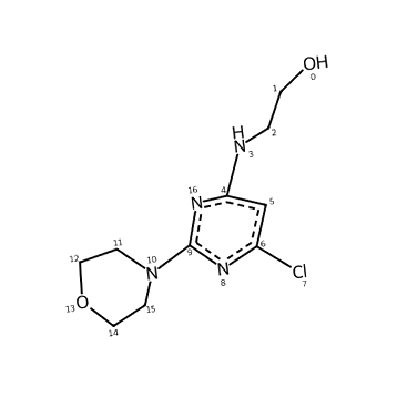 OCCNc1cc(Cl)nc(N2CCOCC2)n1